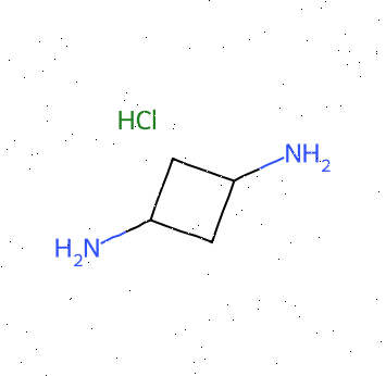 Cl.NC1CC(N)C1